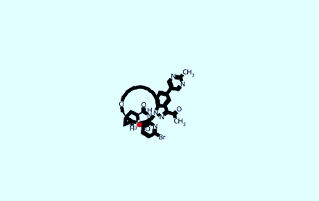 CC(=O)c1nn2c3c(cc(-c4cnc(C)nc4)cc13)CCCCCCOC[C@@]13C[C@@H](C(=O)Nc4nc(Br)ccc4C)N(C(=O)C2)[C@@H]1C3